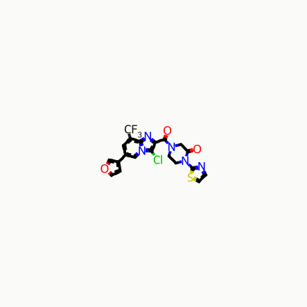 O=C(c1nc2c(C(F)(F)F)cc(-c3ccoc3)cn2c1Cl)N1CCN(c2nccs2)C(=O)C1